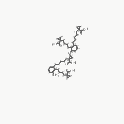 Cc1cccc(CCCCCC2(C(=O)O)CC2Oc2cccc(CCCCCC3(C(=O)O)CC3)c2CCCCC2(C(=O)O)CC2)c1CCCCC1(C(=O)O)CC1